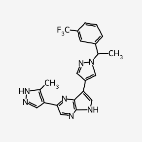 Cc1[nH]ncc1-c1cnc2[nH]cc(-c3cnn(C(C)c4cccc(C(F)(F)F)c4)c3)c2n1